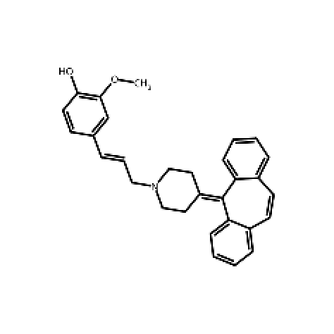 COc1cc(C=CCN2CCC(=C3c4ccccc4C=Cc4ccccc43)CC2)ccc1O